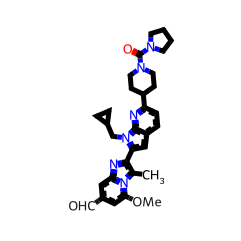 COc1cc(C=O)cc2nc(-c3cc4ccc(C5CCN(C(=O)N6CCCC6)CC5)nc4n3CC3CC3)c(C)n12